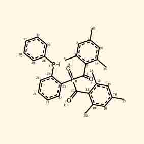 Cc1cc(C)c(C(=O)P(=O)(C(=O)c2c(C)cc(C)cc2C)c2ccccc2Pc2ccccc2)c(C)c1